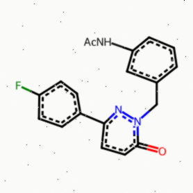 CC(=O)Nc1cccc(Cn2nc(-c3ccc(F)cc3)ccc2=O)c1